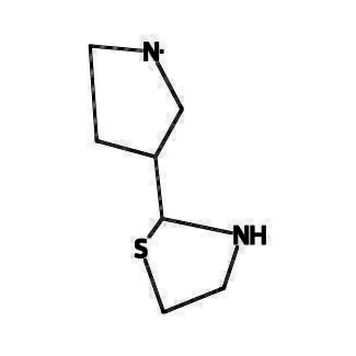 C1CC(C2NCCS2)C[N]1